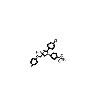 CCS(=O)(=O)c1ccc(N2CC(O)(COc3ccc(F)cc3)N=C2c2ccc(Cl)cc2)cc1